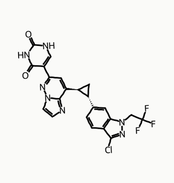 O=c1[nH]cc(-c2cc([C@H]3C[C@@H]3c3ccc4c(Cl)nn(CC(F)(F)F)c4c3)c3nccn3n2)c(=O)[nH]1